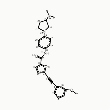 COc1cccc(C#Cc2ccc(C(=O)Nc3ccc(N4CCC(N(C)C)C4)cc3)o2)c1